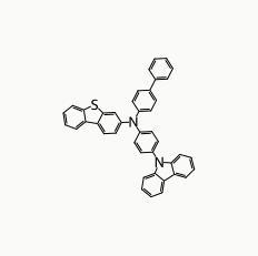 c1ccc(-c2ccc(N(c3ccc(-n4c5ccccc5c5ccccc54)cc3)c3ccc4c(c3)sc3ccccc34)cc2)cc1